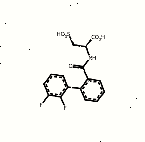 O=C(N[C@@H](CS(=O)(=O)O)C(=O)O)c1ccccc1-c1cccc(F)c1F